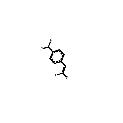 F[C](F)c1ccc(C=C(F)F)cc1